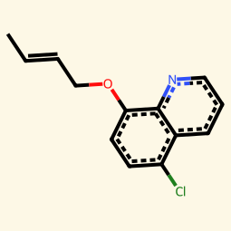 CC=CCOc1ccc(Cl)c2cccnc12